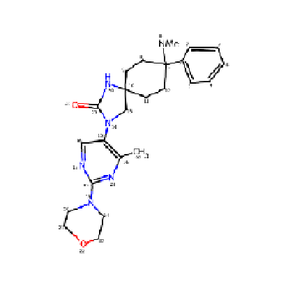 CNC1(c2ccccc2)CCC2(CC1)CN(c1cnc(N3CCOCC3)nc1C)C(=O)N2